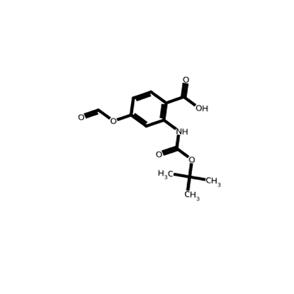 CC(C)(C)OC(=O)Nc1cc(OC=O)ccc1C(=O)O